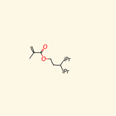 C=C(C)C(=O)OCCC(C(C)C)C(C)C